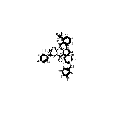 NC(Cn1c(=O)c2c(n(Cc3c(F)cccc3C(F)(F)F)c1=O)CCC21CCN(Cc2cccc(F)c2)CC1)c1ccccc1